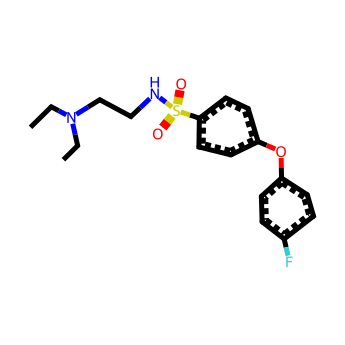 CCN(CC)CCNS(=O)(=O)c1ccc(Oc2ccc(F)cc2)cc1